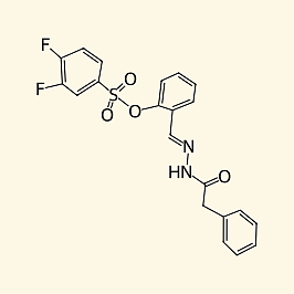 O=C(Cc1ccccc1)NN=Cc1ccccc1OS(=O)(=O)c1ccc(F)c(F)c1